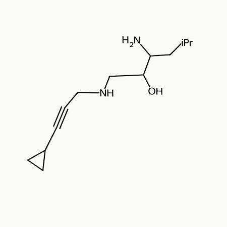 CC(C)CC(N)C(O)CNCC#CC1CC1